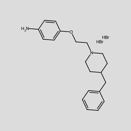 Br.Br.Nc1ccc(OCCN2CCC(Cc3ccccc3)CC2)cc1